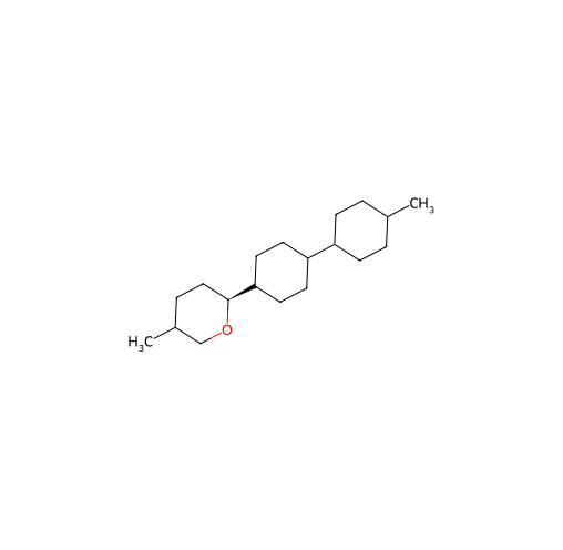 CC1CCC(C2CCC([C@@H]3CCC(C)CO3)CC2)CC1